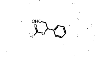 CCC(=O)OC(CC=O)c1ccccc1